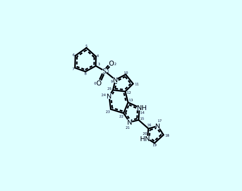 O=S(=O)(c1ccccc1)n1ccc2c3[nH]c(-c4ncc[nH]4)nc3cnc21